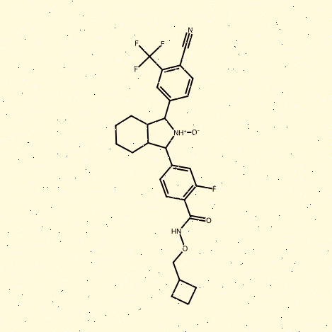 N#Cc1ccc(C2C3CCCCC3C(c3ccc(C(=O)NOCC4CCC4)c(F)c3)[NH+]2[O-])cc1C(F)(F)F